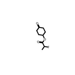 CC(F)C(=O)OC1CCC(=O)CC1